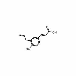 C=CCc1cc(C=CC(=O)O)ccc1O